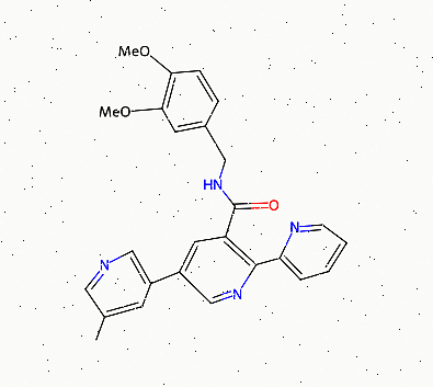 COc1ccc(CNC(=O)c2cc(-c3cncc(C)c3)cnc2-c2ccccn2)cc1OC